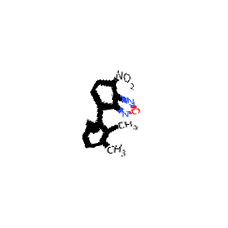 Cc1cccc(-c2ccc([N+](=O)[O-])c3nonc23)c1C